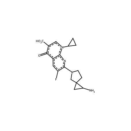 NC1CC12CCN(c1nc3c(cc1F)c(=O)c(C(=O)O)cn3C1CC1)C2